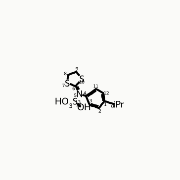 CC(C)c1ccc(N=C2SCCS2)cc1.O=S(=O)(O)O